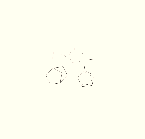 C[Si](C)(C)c1sccc1[C@@H]1[C@H]2CC[C@H](C2)[C@@H]1[Si](C)(C)C